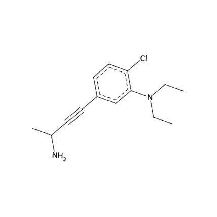 CCN(CC)c1cc(C#CC(C)N)ccc1Cl